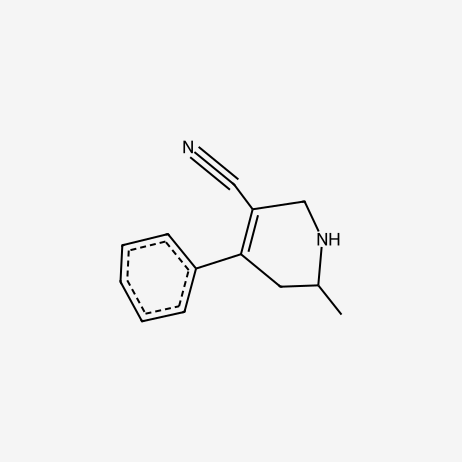 CC1CC(c2ccccc2)=C(C#N)CN1